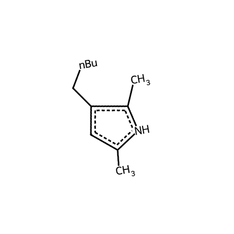 CCCCCc1cc(C)[nH]c1C